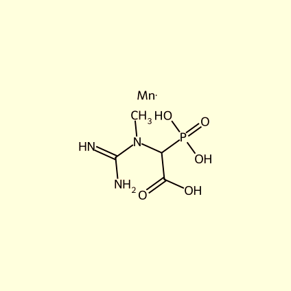 CN(C(=N)N)C(C(=O)O)P(=O)(O)O.[Mn]